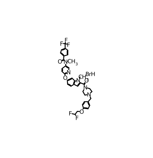 Br.CN(C(=O)c1ccc(C(F)(F)F)cc1)c1ccc(Oc2ccc3cc(C(=O)N4CCN(Cc5ccc(OCC(F)F)cc5)CC4)n(C)c3c2)nc1